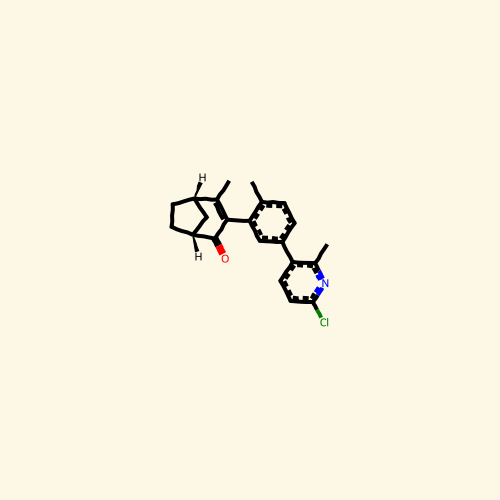 CC1=C(c2cc(-c3ccc(Cl)nc3C)ccc2C)C(=O)[C@@H]2CC[C@H]1C2